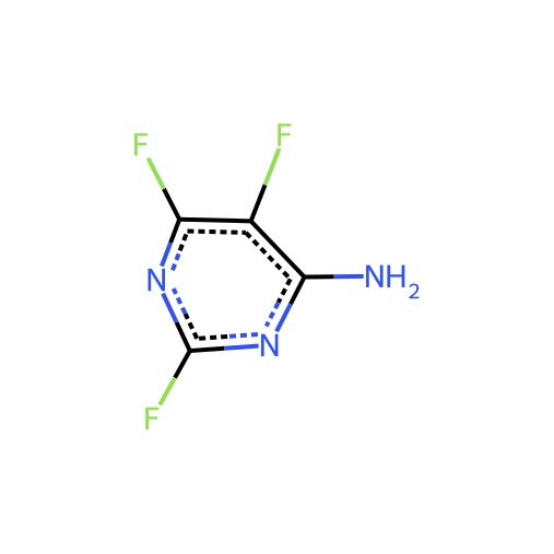 Nc1nc(F)nc(F)c1F